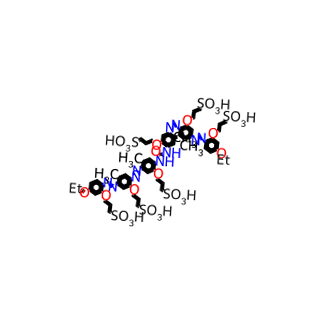 CCOc1ccc(N=Nc2cc(OCCCS(=O)(=O)O)c(N=Nc3cc(OCCCS(=O)(=O)O)c(NC(=O)Nc4cc(C)c(/N=N\c5cc(C)c(N=Nc6ccc(OCC)cc6OCCCS(=O)(=O)O)cc5OCCCS(=O)(=O)O)cc4OCCCS(=O)(=O)O)cc3C)cc2C)c(OCCCS(=O)(=O)O)c1